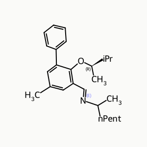 CCCCCC(C)/N=C/c1cc(C)cc(-c2ccccc2)c1O[C@H](C)C(C)C